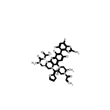 C=CC(=O)N1C[C@@H]2C(=C3CC=CO3)N3C[C@@H](CN(C)C(=O)OC(C)Cl)Oc4nc5c(F)c(-c6c(F)cc(F)c7sc(N)nc67)c(Cl)cc5c(c43)N2C[C@H]1C